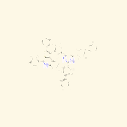 c1ccc(-c2ccc(-c3cc(-c4cccc(-c5c(-c6ccccc6)sc6c(-c7ccccc7)nc7ccccc7c56)c4)nc(-c4ccc(-c5ccccc5)cc4)n3)cc2)cc1